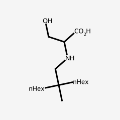 CCCCCCC(C)(CCCCCC)CNC(CO)C(=O)O